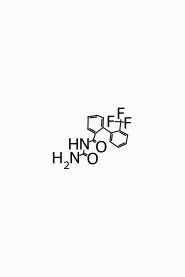 NC(=O)NC(=O)c1ccccc1-c1ccccc1C(F)(F)F